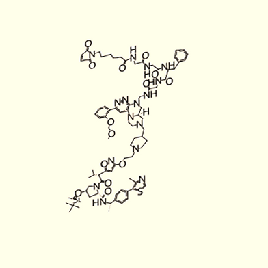 COCOc1ccccc1-c1cc2c(nn1)N(CNC(=O)CNC(=O)[C@H](Cc1ccccc1)NC(=O)CNC(=O)CNC(=O)CCCCCN1C(=O)C=CC1=O)C[C@H]1CN(CC3CCN(CCOc4cc([C@H](C(=O)N5C[C@H](O[Si](C)(C)C(C)(C)C)C[C@H]5C(=O)N[C@@H](C)c5ccc(-c6scnc6C)cc5)C(C)C)on4)CC3)CCN21